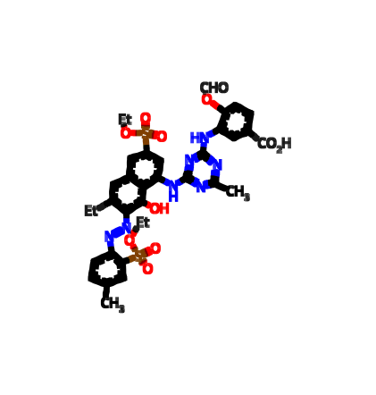 CCOS(=O)(=O)c1cc(Nc2nc(C)nc(Nc3cc(C(=O)O)ccc3OC=O)n2)c2c(O)c(N=Nc3ccc(C)cc3S(=O)(=O)OCC)c(CC)cc2c1